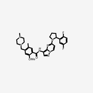 COc1cc(CN2CCN(C)CC2)c(C)cc1C(=O)Nc1cnn2ccc(N3CCCC3c3cc(F)ccc3F)nc12